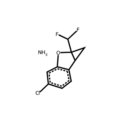 FC(F)C12CC1c1ccc(Cl)cc1O2.N